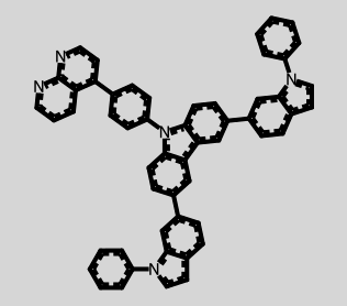 c1ccc(-n2ccc3ccc(-c4ccc5c(c4)c4cc(-c6ccc7ccn(-c8ccccc8)c7c6)ccc4n5-c4ccc(-c5ccnc6ncccc56)cc4)cc32)cc1